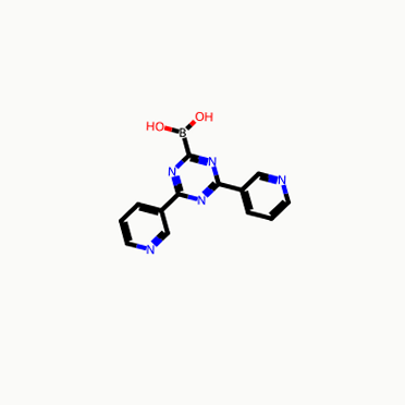 OB(O)c1nc(-c2cccnc2)nc(-c2cccnc2)n1